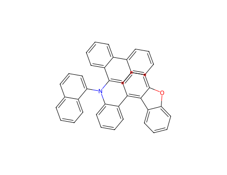 c1ccc(N(c2cccc3ccccc23)c2cc3ccccc3c3ccccc23)c(-c2cccc3oc4ccccc4c23)c1